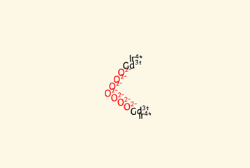 [Gd+3].[Gd+3].[Ir+4].[Ir+4].[O-2].[O-2].[O-2].[O-2].[O-2].[O-2].[O-2]